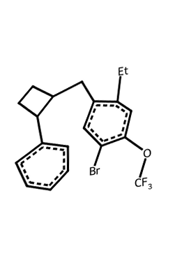 CCc1cc(OC(F)(F)F)c(Br)cc1CC1CCC1c1ccccc1